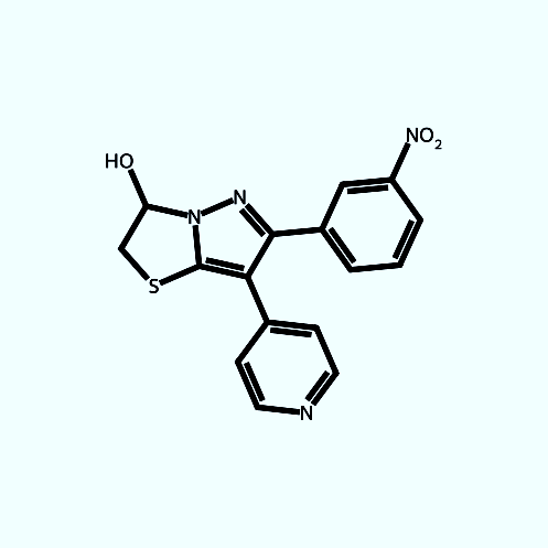 O=[N+]([O-])c1cccc(-c2nn3c(c2-c2ccncc2)SCC3O)c1